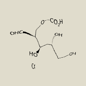 O=C[C@@H](OC(=O)O)[C@H](O)[C@H](O)CO.[Cr]